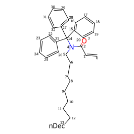 C=CC(=O)N(CCCCCCCCCCCCCCCCCC)C(c1ccccc1)(c1ccccc1)c1ccccc1